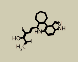 C=C(I)/C(O)=C(I)\C=C\C1NC2=C(C3=C1CCCCC3)C1C=NNC1C=C2